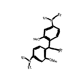 CCN(CC)c1ccc(C(c2ccc(N(CC)CC)cc2OC)C(C)C)c(OC)c1